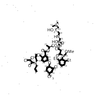 C=CCN(CC=C)C(=O)C(Cl)Cl.CCc1cccc(CC)c1N(COC)C(=O)CCl.C[C@H](OC(=O)c1cc(Oc2ccc(C(F)(F)F)cc2Cl)ccc1Cl)C(=O)O.C[S+](C)C.O=C(O)CNCP(=O)([O-])O